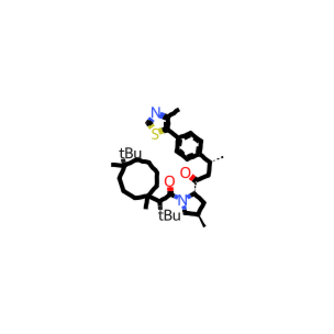 Cc1ncsc1-c1ccc([C@H](C)CC(=O)[C@@H]2C[C@@H](C)CN2C(=O)C(C(C)(C)C)C2(C)CCCCC(C)(C(C)(C)C)CCC2)cc1